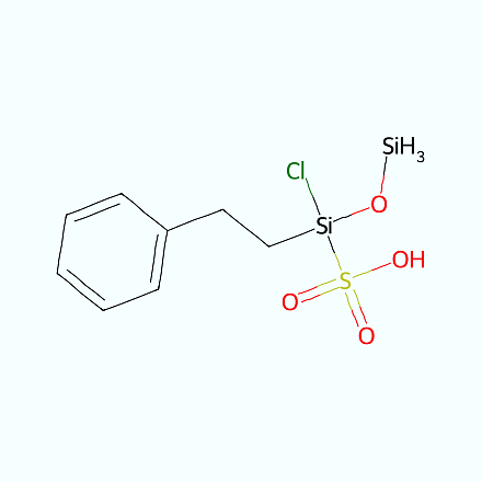 O=S(=O)(O)[Si](Cl)(CCc1ccccc1)O[SiH3]